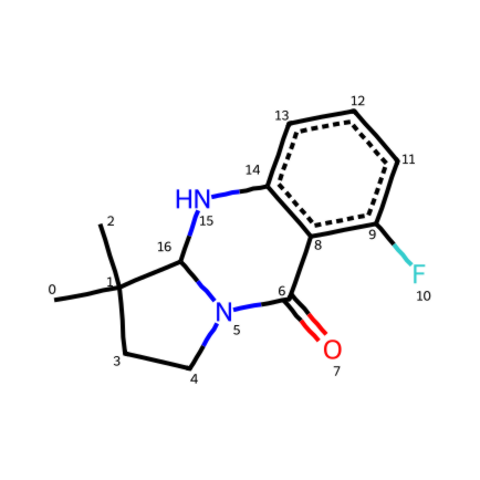 CC1(C)CCN2C(=O)c3c(F)cccc3NC21